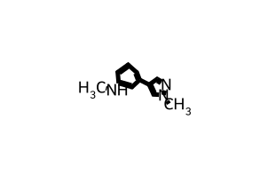 CNc1cccc(-c2cnn(C)c2)c1